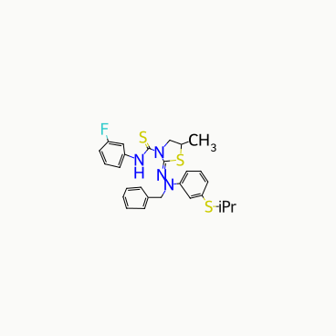 CC(C)Sc1cccc(N(Cc2ccccc2)N=C2SC(C)CN2C(=S)Nc2cccc(F)c2)c1